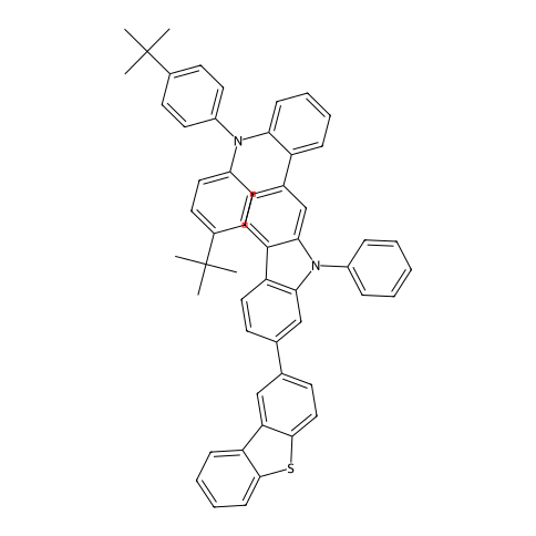 CC(C)(C)c1ccc(N(c2ccc(C(C)(C)C)cc2)c2ccccc2-c2ccc3c4ccc(-c5ccc6sc7ccccc7c6c5)cc4n(-c4ccccc4)c3c2)cc1